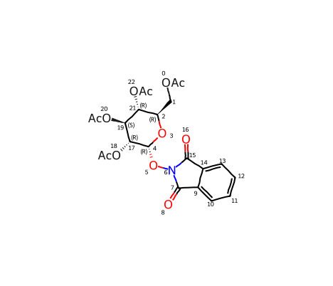 CC(=O)OC[C@H]1O[C@H](ON2C(=O)c3ccccc3C2=O)[C@H](OC(C)=O)[C@@H](OC(C)=O)[C@@H]1OC(C)=O